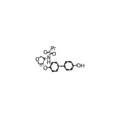 CC(C)S(=O)(=O)N[C@H]1COC[C@H]1Oc1ccc(-c2ccc(O)cc2)cc1